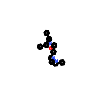 c1ccc(-c2ccc3c(c2)c2cc(-c4ccccc4)ccc2n3-c2cccc3c2oc2cc(-c4ccc5ccc6ccc(-c7ccccc7)nc6c5n4)ccc23)cc1